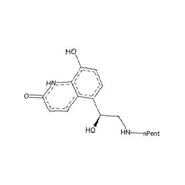 [CH2]CCCCNC[C@@H](O)c1ccc(O)c2[nH]c(=O)ccc12